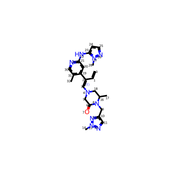 C=C/C(=C\N1CC(=O)N(Cc2cnn(C)n2)C(C)C1)c1cc(Nc2ccnn2C)ncc1C